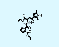 CCOC(=O)C(CC(=O)c1cc(C)[nH]c1C)N[C@@H](C)C(=O)N1CCC[C@H]1C(=O)OCC